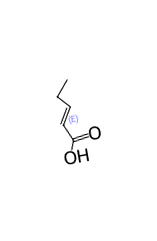 CC/C=C/C(=O)O